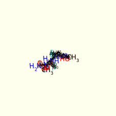 COC(=O)C(CCC(N)=O)NC(=O)c1ccc(NCC#Cc2sc3c(NC4CCN(CC(C)O)CC4)cccc3c2CC(F)(F)F)c(OCC(F)(F)F)c1